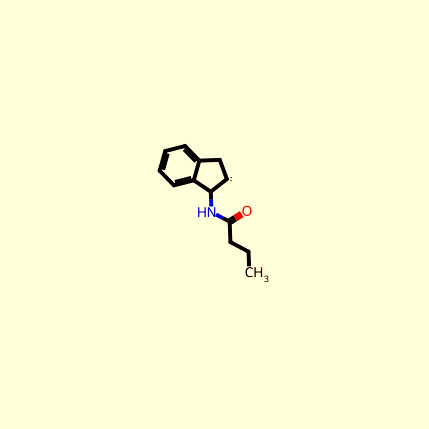 CCCC(=O)NC1[C]Cc2ccccc21